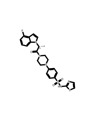 C[C@H](C(=O)N1CCN(c2ccc(S(=O)(=O)Nc3nccs3)cc2)CC1)n1ccc2c(F)cccc21